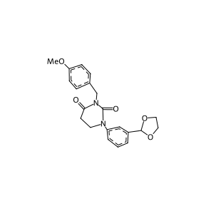 COc1ccc(CN2C(=O)CCN(c3cccc(C4OCCO4)c3)C2=O)cc1